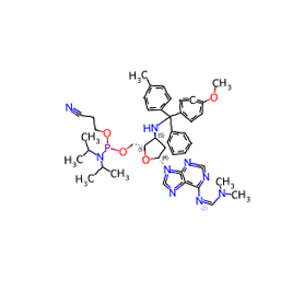 COc1ccc(C(N[C@H]2C[C@H](n3cnc4c(/N=C\N(C)C)ncnc43)O[C@@H]2COP(OCCC#N)N(C(C)C)C(C)C)(c2ccccc2)c2ccc(C)cc2)cc1